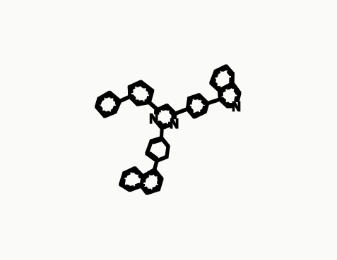 C1=C(c2nc(-c3ccc(-c4cncc5ccccc45)cc3)cc(-c3cccc(-c4ccccc4)c3)n2)CCC(c2cccc3ccccc23)=C1